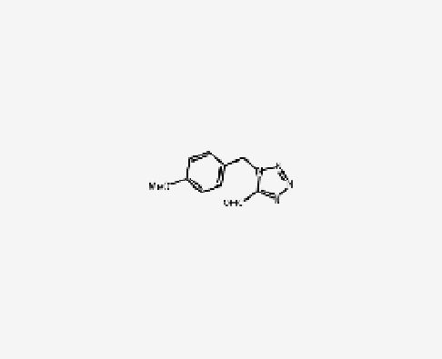 COc1ccc(Cn2nnnc2C=O)cc1